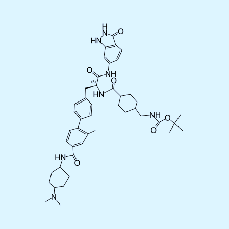 Cc1cc(C(=O)NC2CCC(N(C)C)CC2)ccc1-c1ccc(C[C@H](NC(=O)C2CCC(CNC(=O)OC(C)(C)C)CC2)C(=O)Nc2ccc3c(=O)[nH][nH]c3c2)cc1